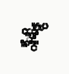 Cn1c(C(=O)N[C@@H](Cc2ccccc2)C(=O)N[C@@H](C[C@@H]2CCNC2=O)C(=O)C(=O)NC2CCCCC2)cc2ccccc21